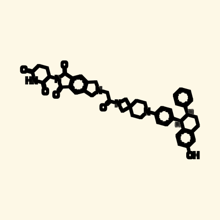 O=C1CCC(N2C(=O)c3cc4c(cc3C2=O)CN(CC(=O)N2CC3(CCN(c5ccc([C@@H]6c7ccc(O)cc7CC[C@@H]6c6ccccc6)cc5)CC3)C2)C4)C(=O)N1